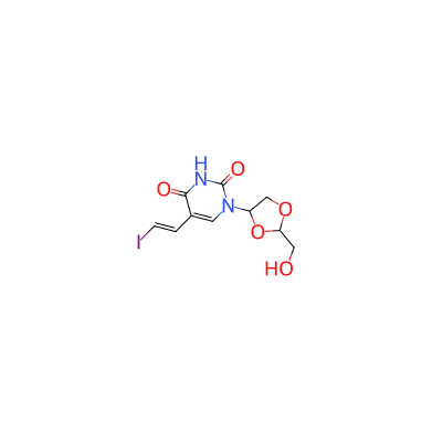 O=c1[nH]c(=O)n(C2COC(CO)O2)cc1C=CI